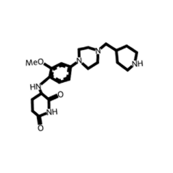 COc1cc(N2CCN(CC3CCNCC3)CC2)ccc1NC1CCC(=O)NC1=O